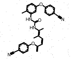 C=C(/C=C\C(C)=C(/C)NC(=O)Nc1cc(Oc2ccc(C#N)cc2)ccc1C)Oc1ccc(C#N)cc1